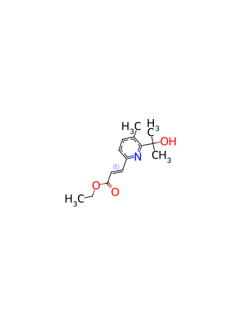 CCOC(=O)/C=C/c1ccc(C)c(C(C)(C)O)n1